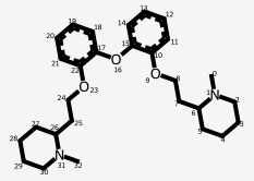 CN1CCCCC1CCOc1ccccc1Oc1ccccc1OCCC1CCCCN1C